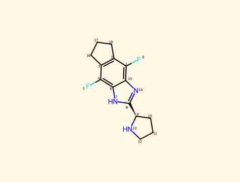 Fc1c2c(c(F)c3[nH]c([C@H]4CCCN4)nc13)CCC2